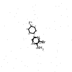 Nc1ncc([C@H]2CC[C@H](F)CC2)nc1Br